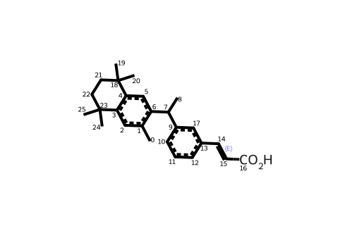 Cc1cc2c(cc1C(C)c1cccc(/C=C/C(=O)O)c1)C(C)(C)CCC2(C)C